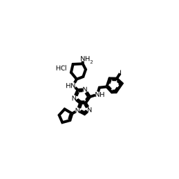 Cl.NC1CCC(Nc2nc(NCc3cccc(I)c3)c3ncn(C4=CCCC4)c3n2)CC1